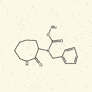 CC(C)(C)OC(=O)N(Cc1ccccc1)C1CCCCCNC1=O